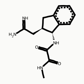 CNC(=O)C(=O)N[C@H]1c2ccccc2C[C@@H]1CC(=N)N